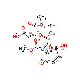 COC(=O)/C=C\C(=O)O.COC(=O)/C=C\C(=O)OC.O=C(O)/C=C\C(=O)O